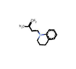 C=C(C)CCN1CCCc2ccccc21